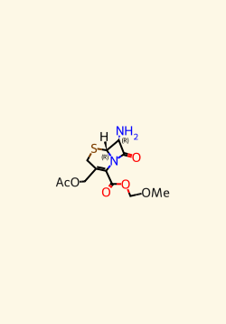 COCOC(=O)C1=C(COC(C)=O)CS[C@@H]2[C@H](N)C(=O)N12